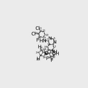 Oc1cc2ncnc(Nc3ccc(Cl)c(Cl)c3F)c2cc1O[C@H]1[C@@H]2C[C@H]1CN(C(O)C(F)(F)F)C2